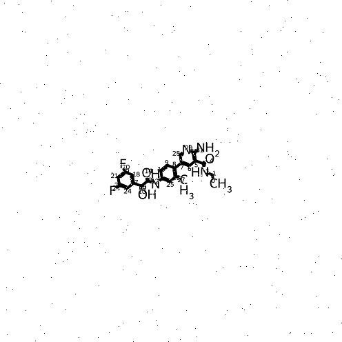 CCNC(=O)c1cc(-c2ccc(NC(=O)[C@H](O)c3cc(F)cc(F)c3)cc2C)cnc1N